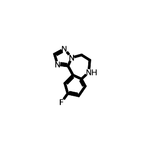 Fc1ccc2c(c1)-c1ncnn1CCN2